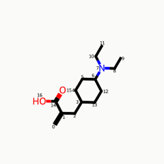 C=C(CC1CCC(N(CC)CC)CC1)C(=O)O